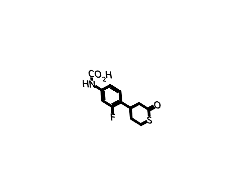 O=C(O)Nc1ccc(C2CCSC(=O)C2)c(F)c1